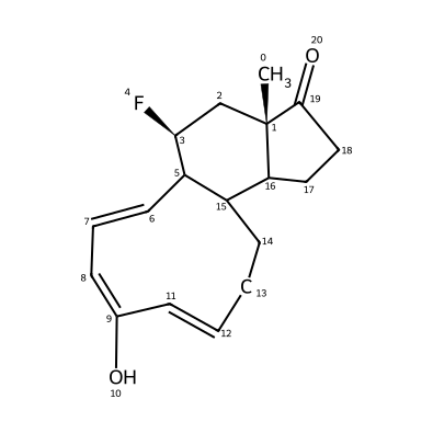 C[C@]12C[C@H](F)C3/C=C/C=C(O)\C=C\CCC3C1CCC2=O